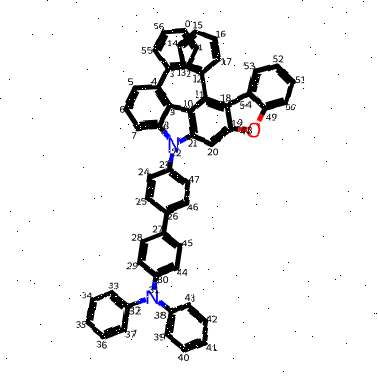 c1ccc(-c2cccc3c2c2c(-c4ccccc4)c4c(cc2n3-c2ccc(-c3ccc(N(c5ccccc5)c5ccccc5)cc3)cc2)oc2ccccc24)cc1